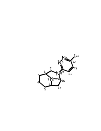 CN1C2CCCC1CN(c1ccc(I)nn1)CC2